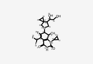 CC1c2c(c(=O)[nH]c(=O)n2C2CC2)C(C(F)F)=C(F)C1N1CC(C(O)CO)C2(CC2)C1